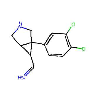 N=CC1C2CNCC12c1ccc(Cl)c(Cl)c1